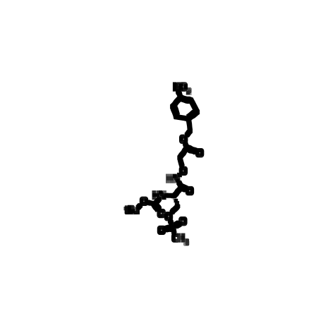 CC(C)(C)OC(=O)N[C@@H](COS(C)(=O)=O)C(=O)NOCC(=O)OCc1ccc([N+](=O)[O-])cc1